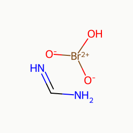 N=CN.[O-][Br+2]([O-])O